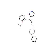 CC(Oc1cccc2c1CC(=CCCN1CCC(O)(c3ccc(Cl)cc3)CC1)c1cccnc1O2)C(=O)O